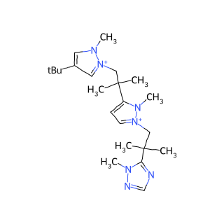 Cn1ncnc1C(C)(C)C[n+]1ccc(C(C)(C)C[n+]2cc(C(C)(C)C)cn2C)n1C